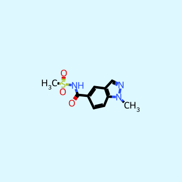 Cn1ncc2cc(C(=O)NS(C)(=O)=O)ccc21